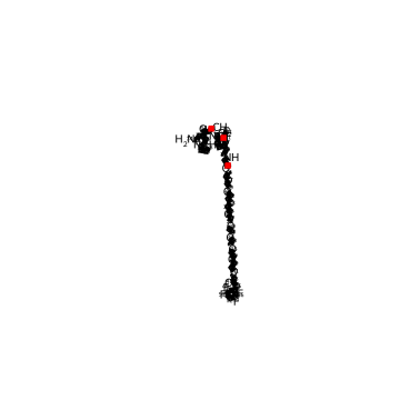 CCC(NCc1ccc(CCNCCOCCOCCOCCOCCOCCOCCOCCOCCOCCOCCC(=O)Oc2c(F)c(F)cc(F)c2F)cc1C(F)(F)F)C(=O)C1=Cc2sccc2N=C(N)C1